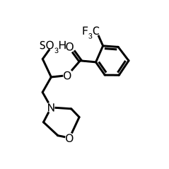 O=C(OC(CN1CCOCC1)CS(=O)(=O)O)c1ccccc1C(F)(F)F